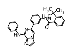 CC(C)(C)c1ccccc1C(=O)Nc1cccc(-c2cn3ccnc3c(Nc3ccccc3)n2)c1